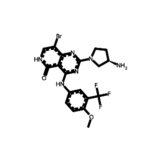 COc1ccc(Nc2nc(N3CC[C@@H](N)C3)nc3c(Br)c[nH]c(=O)c23)cc1C(F)(F)F